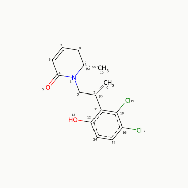 C[C@@H](CN1C(=O)C=CC[C@@H]1C)c1c(O)ccc(Cl)c1Cl